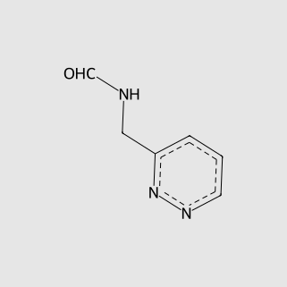 O=CNCc1cccnn1